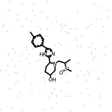 Cc1ccc(-c2cnc(C3CCC(O)CN3CC(C)[S+](C)[O-])[nH]2)cc1